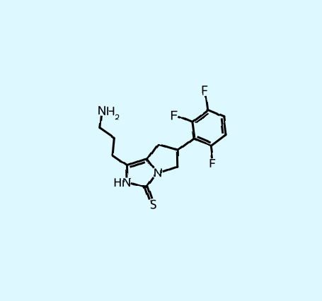 NCCCc1[nH]c(=S)n2c1CC(c1c(F)ccc(F)c1F)C2